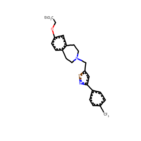 CCOC(=O)COc1ccc2c(c1)CCN(Cc1cc(-c3ccc(C(F)(F)F)cc3)ns1)CC2